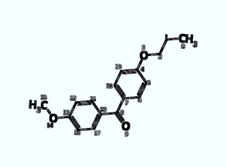 CCCOc1ccc(C(=O)c2ccc(OC)cc2)cc1